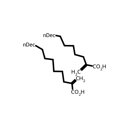 C=C(CCCCCCCCCCCCCCC)C(=O)O.C=C(CCCCCCCCCCCCCCCC)C(=O)O